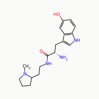 CN1CCCC1CCNC(=O)[C@@H](N)Cc1c[nH]c2ccc(O)cc12